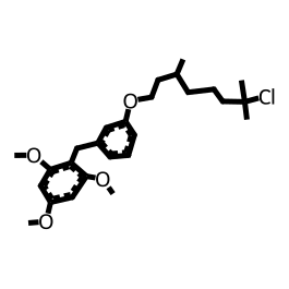 COc1cc(OC)c(Cc2cccc(OCCC(C)CCCC(C)(C)Cl)c2)c(OC)c1